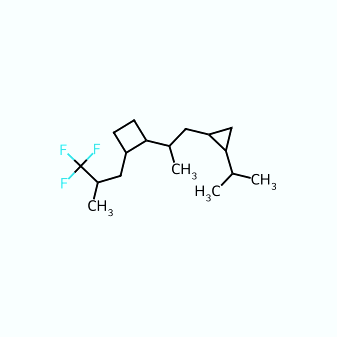 CC(C)C1CC1CC(C)C1CCC1CC(C)C(F)(F)F